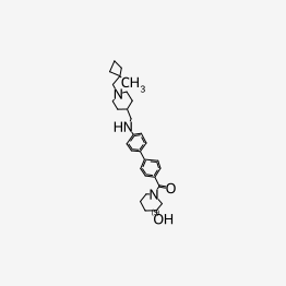 CC1(CN2CCC(CNc3ccc(-c4ccc(C(=O)N5CCC[C@H](O)C5)cc4)cc3)CC2)CCC1